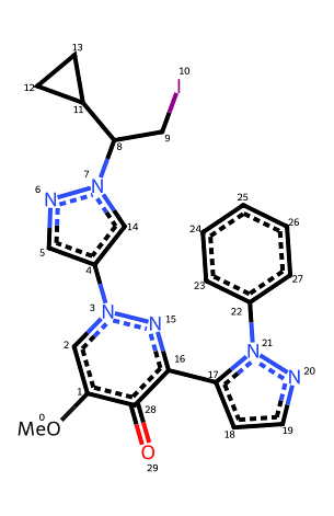 COc1cn(-c2cnn(C(CI)C3CC3)c2)nc(-c2ccnn2-c2ccccc2)c1=O